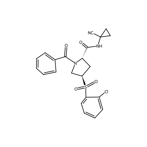 N#CC1(NC(=O)[C@@H]2C[C@@H](S(=O)(=O)c3ccccc3Cl)CN2C(=O)c2ccccc2)CC1